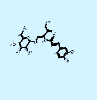 C=C(CO)C(CO[C@@H]1OC(CO)[C@@H](O)C(O)C1O)OC(=O)/C=C/c1ccc(O)c(O)c1